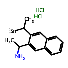 CC(N)c1cc2ccccc2cc1[CH](C)[Sn].Cl.Cl